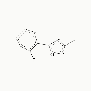 Cc1cc(-c2[c]cccc2F)on1